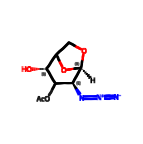 CC(=O)OC1[C@H](O)C2CO[C@H](O2)[C@H]1N=[N+]=[N-]